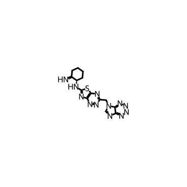 N=C1CCCC[C@H]1Nc1nc2nnc(Cn3cnc4nnnnc43)nc2s1